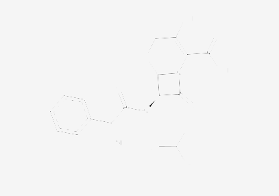 CC(C)O.CC1=C(C(=O)O)N2C(=O)[C@@H](NC(=O)[C@H](N)c3ccccc3)[C@H]2SC1.Cl